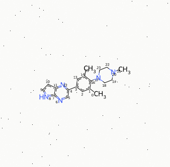 Cc1cc(-c2cnc3[nH]ccc3n2)cc(C)c1N1CCN(C)CC1